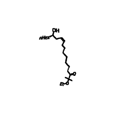 CCCCCC[C@@H](O)C/C=C\CCCCCCCC(=O)C(C)(C)OCC